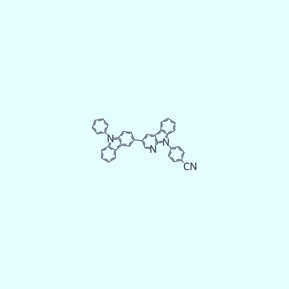 N#Cc1ccc(-n2c3ccccc3c3cc(-c4ccc5c(c4)c4ccccc4n5-c4ccccc4)cnc32)cc1